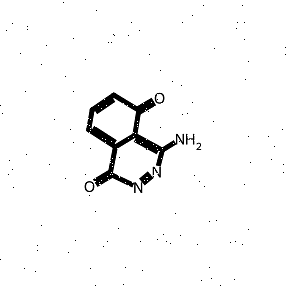 NC1=C2C(=O)C=CC=C2C(=O)N=N1